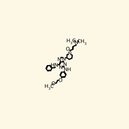 COCCOc1ccc(Nc2nc(NCc3ccccc3)c3ncn(C4CCCN(C(=O)/C=C/CN(C)C)C4)c3n2)cc1